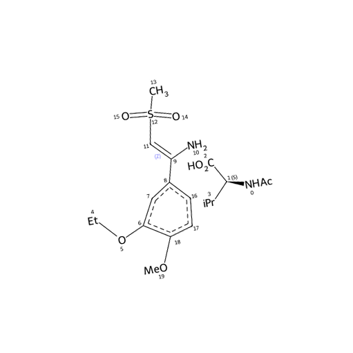 CC(=O)N[C@H](C(=O)O)C(C)C.CCOc1cc(/C(N)=C/S(C)(=O)=O)ccc1OC